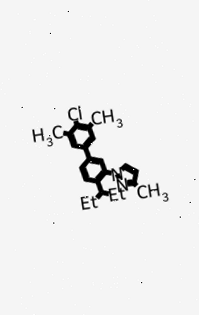 CCC(CC)c1ccc(-c2cc(C)c(Cl)c(C)c2)cc1-n1ccc(C)n1